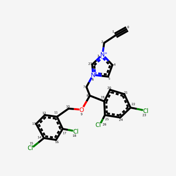 C#CC[n+]1ccn(CC(OCc2ccc(Cl)cc2Cl)c2ccc(Cl)cc2Cl)c1